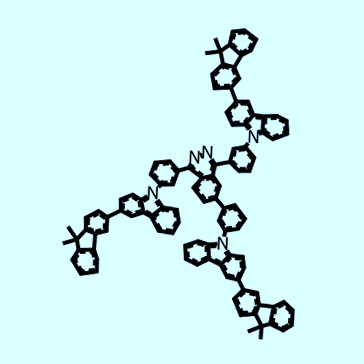 CC1(C)c2ccccc2-c2cc(-c3ccc4c(c3)c3ccccc3n4-c3cccc(-c4ccc5c(-c6cccc(-n7c8ccccc8c8cc(-c9ccc%10c(c9)-c9ccccc9C%10(C)C)ccc87)c6)nnc(-c6cccc(-n7c8ccccc8c8cc(-c9ccc%10c(c9)-c9ccccc9C%10(C)C)ccc87)c6)c5c4)c3)ccc21